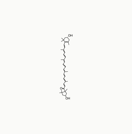 CC1=C(/C=C/C(C)=C/C=C/C(C)=C/C=C/C=C(C)/C=C/C=C(C)/C=C/C(=O)C2(C)C[C@@H](O)CC2(C)C)C(C)(C)C[C@H](O)C1